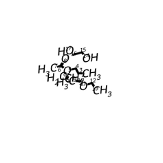 C=C.CCCOC(C)=O.CCOCC.OCCO